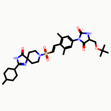 Cc1cc(N2C(=O)NC(COC(C)(C)C)C2=O)cc(C)c1C=CS(=O)(=O)N1CCC2(CC1)N=C(C1CCC(C)CC1)NC2=O